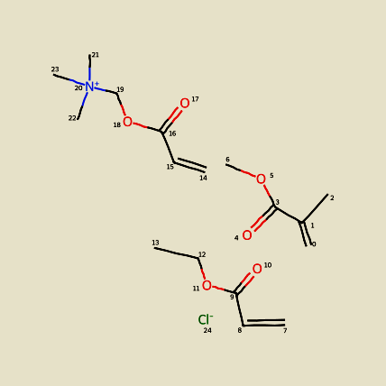 C=C(C)C(=O)OC.C=CC(=O)OCC.C=CC(=O)OC[N+](C)(C)C.[Cl-]